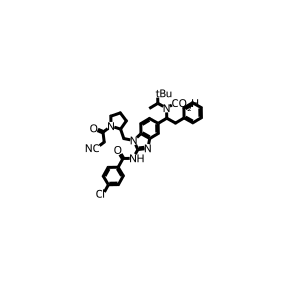 CC(N(C(=O)O)C(Cc1ccccc1)c1ccc2c(c1)nc(NC(=O)c1ccc(Cl)cc1)n2CC1CCCN1C(=O)CC#N)C(C)(C)C